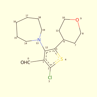 O=Cc1c(Cl)sc(C2CCOCC2)c1N1CCCCCC1